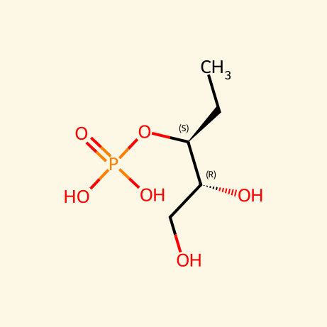 CC[C@H](OP(=O)(O)O)[C@H](O)CO